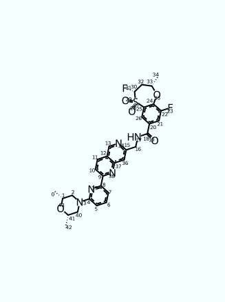 C[C@@H]1CN(c2cccc(-c3ccc4cnc(CNC(=O)c5cc(F)c6c(c5)S(=O)(=O)[C@H](F)C[C@H](C)O6)cc4n3)n2)C[C@H](C)O1